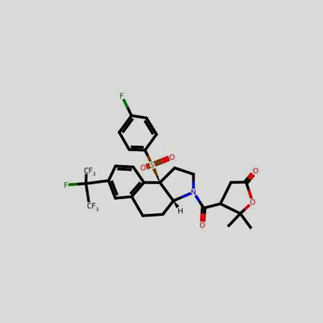 CC1(C)OC(=O)CC1C(=O)N1CC[C@@]2(S(=O)(=O)c3ccc(F)cc3)c3ccc(C(F)(C(F)(F)F)C(F)(F)F)cc3CC[C@@H]12